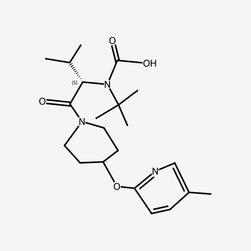 Cc1ccc(OC2CCN(C(=O)[C@H](C(C)C)N(C(=O)O)C(C)(C)C)CC2)nc1